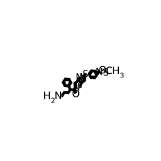 CSON1c2ccc(Sn3cc4c(n3)CN(C(=O)C(CCCN)c3ccccc3)C4)cc21